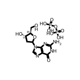 Nc1nc2c(ncn2C2C[C@H](O)[C@@H](CO)O2)c(=O)[nH]1.O=P(O)(O)OP(=O)(O)O